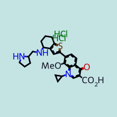 COc1c(-c2cc3c(s2)CCCC3NCC2CCCN2)ccc2c(=O)c(C(=O)O)cn(C3CC3)c12.Cl.Cl